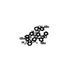 CC(C)(C)C1=CC2=C(CC1)N(c1ccc3c(c1)N(c1cccc4c1sc1ccccc14)c1cc(N4c5ccc(C(C)(C)C)cc5C5(C)CCCCC45C)cc4c1B3C1CC(C(C)(C)C)=Cc3c1n-4c1c3oc3ccccc31)C1(C)CCCCC21C